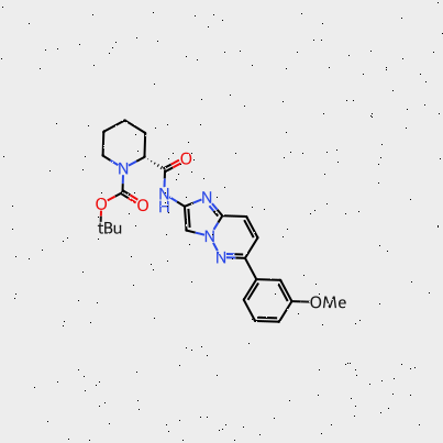 COc1cccc(-c2ccc3nc(NC(=O)[C@H]4CCCCN4C(=O)OC(C)(C)C)cn3n2)c1